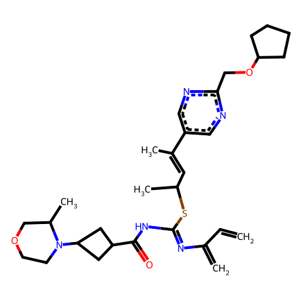 C=CC(=C)/N=C(/NC(=O)C1CC(N2CCOCC2C)C1)SC(C)/C=C(\C)c1cnc(COC2CCCC2)nc1